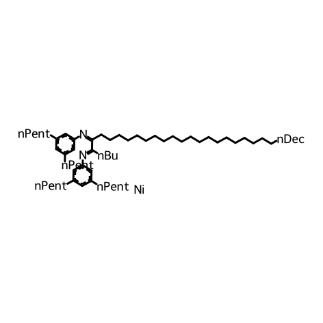 CCCCCCCCCCCCCCCCCCCCCCCCCCCCCCC(=Nc1cc(CCCCC)cc(CCCCC)c1)C(CCCC)=Nc1cc(CCCCC)cc(CCCCC)c1.[Ni]